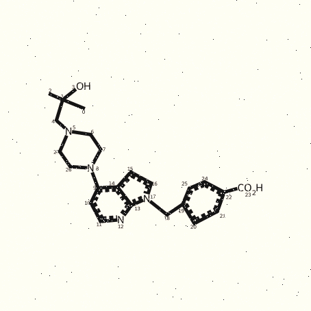 CC(C)(O)CN1CCN(c2ccnc3c2ccn3Cc2ccc(C(=O)O)cc2)CC1